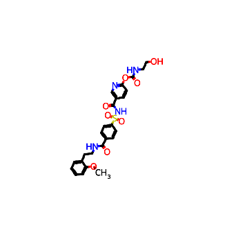 COc1ccccc1CCNC(=O)c1ccc(S(=O)(=O)NC(=O)c2ccc(OC(=O)NCCO)nc2)cc1